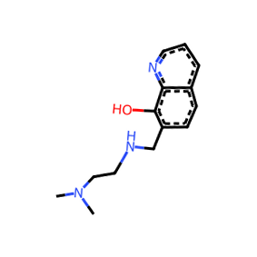 CN(C)CCNCc1ccc2cccnc2c1O